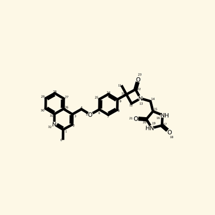 Cc1cc(COc2ccc(C3(C)CN(CC4NC(=O)NC4=O)C3=O)cc2)c2ccccc2n1